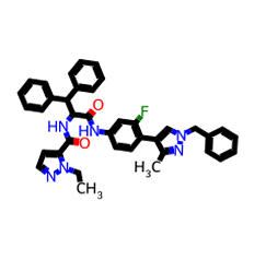 CCn1nccc1C(=O)NC(C(=O)Nc1ccc(-c2cn(Cc3ccccc3)nc2C)c(F)c1)C(c1ccccc1)c1ccccc1